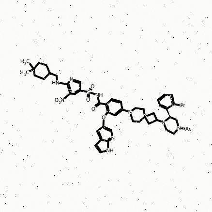 CC(=O)N1CCN(C2CC3(CCN(c4ccc(C(=O)NS(=O)(=O)c5cnc(NCC6CCC(C)(C)CC6)c([N+](=O)[O-])c5)c(Oc5cnc6[nH]ccc6c5)c4)CC3)C2)[C@@H](c2ccccc2C(C)C)C1